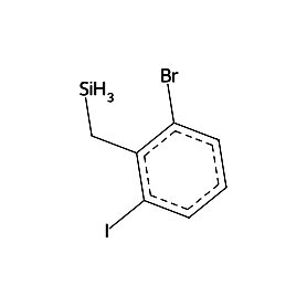 [SiH3]Cc1c(Br)cccc1I